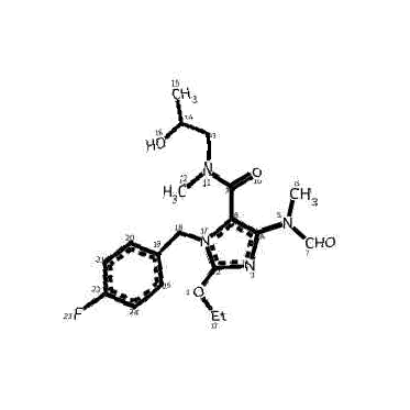 CCOc1nc(N(C)C=O)c(C(=O)N(C)CC(C)O)n1Cc1ccc(F)cc1